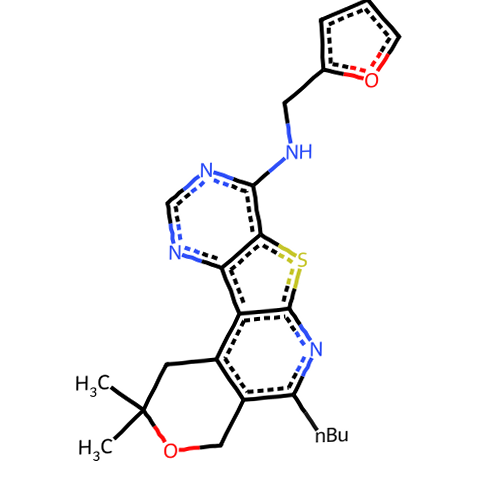 CCCCc1nc2sc3c(NCc4ccco4)ncnc3c2c2c1COC(C)(C)C2